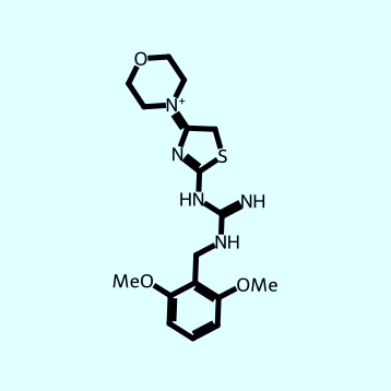 COc1cccc(OC)c1CNC(=N)NC1=NC(=[N+]2CCOCC2)CS1